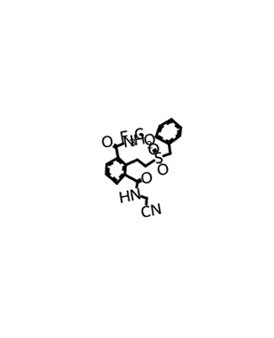 N#CCNC(=O)c1cccc(C(N)=O)c1CCS(=O)(=O)Cc1ccccc1OC(F)(F)F